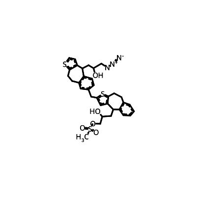 CS(=O)(=O)OCC(O)CC1c2ccccc2CCc2sc(Cc3ccc4c(c3)CCc3sccc3C4CC(O)CN=[N+]=[N-])cc21